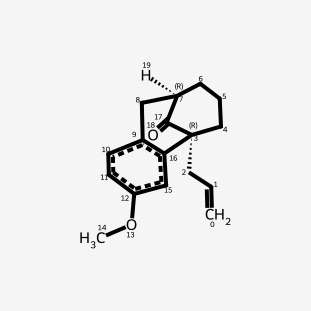 C=CC[C@]12CCC[C@H](Cc3ccc(OC)cc31)C2=O